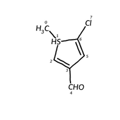 C[SH]1C=C(C=O)C=C1Cl